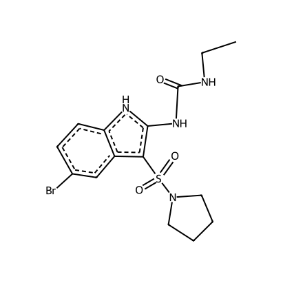 CCNC(=O)Nc1[nH]c2ccc(Br)cc2c1S(=O)(=O)N1CCCC1